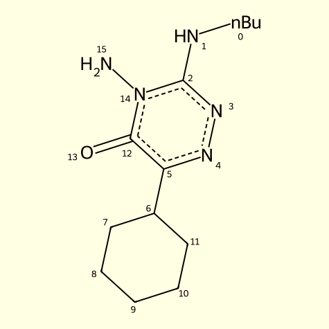 CCCCNc1nnc(C2CCCCC2)c(=O)n1N